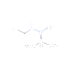 CCCCN(NCC(C)C)[SiH](NC)NC